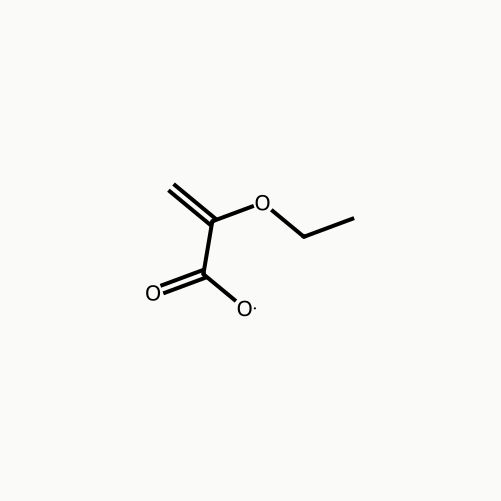 C=C(OCC)C([O])=O